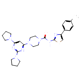 N#Cc1ccc(-c2csc(NC(=O)N3CCN(c4cc(N5CCCC5)nc(N5CCCC5)n4)CC3)n2)cc1